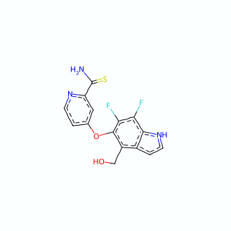 NC(=S)c1cc(Oc2c(F)c(F)c3[nH]ccc3c2CO)ccn1